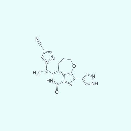 C[C@@H](c1[nH]c(=O)c2sc(-c3cn[nH]c3)c3c2c1CCCO3)n1cc(C#N)cn1